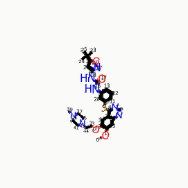 COc1cc2ncnc(Sc3cccc(NC(=O)Nc4cc(C(C)(C)C)on4)c3)c2cc1OCCN1CCN(C)CC1